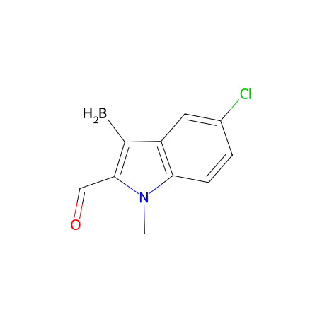 Bc1c(C=O)n(C)c2ccc(Cl)cc12